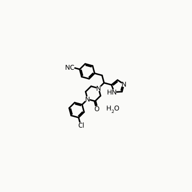 N#Cc1ccc(CC(c2cnc[nH]2)N2CCN(c3cccc(Cl)c3)C(=O)C2)cc1.O